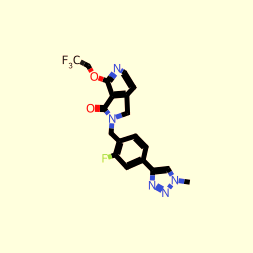 Cn1cc(-c2ccc(CN3Cc4ccnc(OCC(F)(F)F)c4C3=O)c(F)c2)nn1